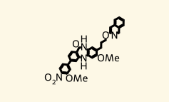 COc1cc2c(cc1CCCOc1cc3ccccc3cn1)NC(=O)c1ccc(-c3ccc([N+](=O)[O-])c(OC)c3)cc1N2